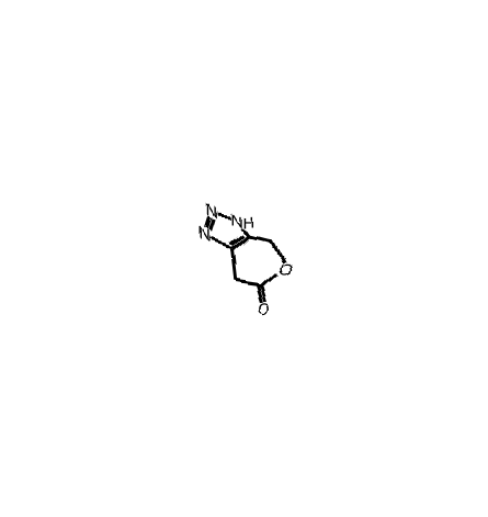 O=C1Cc2nn[nH]c2CO1